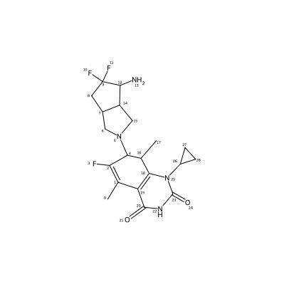 CC1=C(F)C(N2CC3CC(F)(F)C(N)C3C2)C(C)c2c1c(=O)[nH]c(=O)n2C1CC1